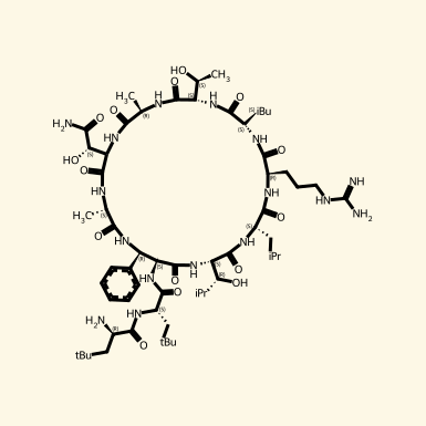 CC[C@H](C)[C@@H]1NC(=O)[C@@H](CCCNC(=N)N)NC(=O)[C@H](CC(C)C)NC(=O)[C@H]([C@H](O)C(C)C)NC(=O)[C@@H](NC(=O)[C@H](CC(C)(C)C)NC(=O)[C@H](N)CC(C)(C)C)[C@@H](c2ccccc2)NC(=O)[C@H](C)NC(=O)C([C@H](O)C(N)=O)NC(=O)[C@@H](C)NC(=O)[C@H]([C@H](C)O)NC1=O